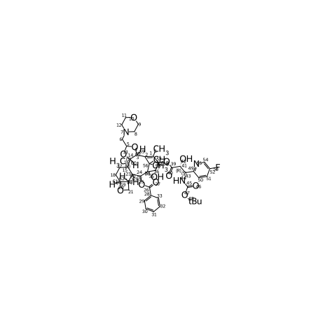 CC1=C2[C@H]3OC(CN4CCOCC4)O[C@H]3[C@]3(C)CC[C@H]4OC[C@H]4[C@H]3[C@H](OC(=O)c3ccccc3)[C@](O)(C[C@@H]1OC(=O)[C@H](O)[C@@H](NC(=O)OC(C)(C)C)c1ccc(F)cn1)C2(C)C